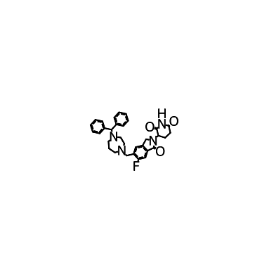 O=C1CCC(N2Cc3cc(CN4CCCN(C(c5ccccc5)c5ccccc5)CC4)c(F)cc3C2=O)C(=O)N1